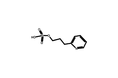 O=S(=O)(O)OCCCc1ccccn1